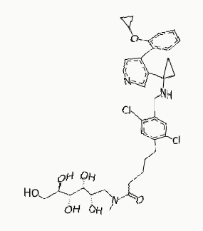 CN(C[C@H](O)[C@@H](O)[C@H](O)[C@H](O)CO)C(=O)CCCCc1cc(Cl)c(CNC2(c3cnccc3-c3ccccc3OC3CC3)CC2)cc1Cl